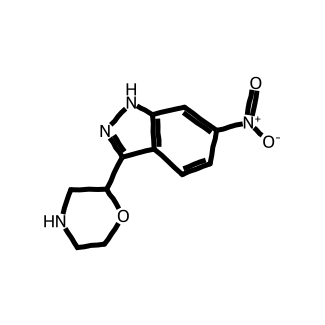 O=[N+]([O-])c1ccc2c(C3CNCCO3)n[nH]c2c1